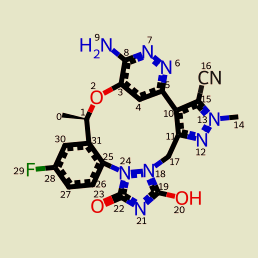 C[C@H]1Oc2cc(nnc2N)-c2c(nn(C)c2C#N)Cn2c(O)nc(=O)n2-c2ccc(F)cc21